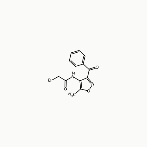 Cc1onc(C(=O)c2ccccc2)c1NC(=O)CBr